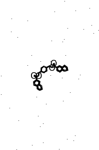 O=C(OCC1CCC(COC(=O)c2ccc3ccccc3c2)CC1)c1ccc2ccccc2c1